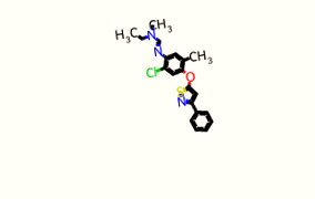 CCN(C)C=Nc1cc(C)c(Oc2cc(-c3ccccc3)ns2)cc1Cl